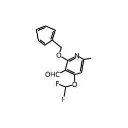 Cc1cc(OC(F)F)c(C=O)c(OCc2ccccc2)n1